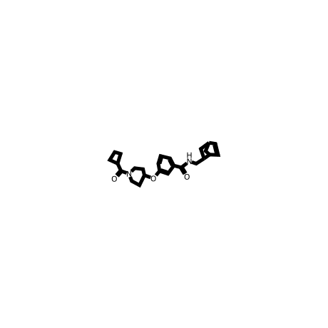 O=C(NCC1CC2C=CC1C2)c1cccc(OC2CCN(C(=O)C3CCC3)CC2)c1